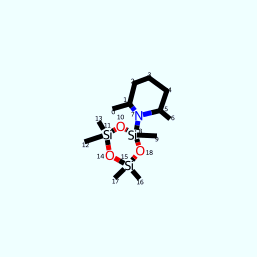 CC1CCCC(C)N1[Si]1(C)O[Si](C)(C)O[Si](C)(C)O1